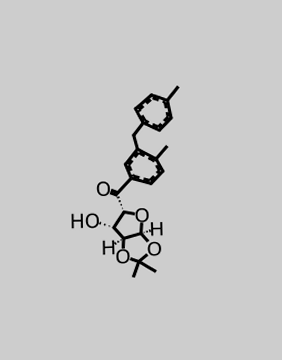 Cc1ccc(Cc2cc(C(=O)[C@@H]3O[C@H]4OC(C)(C)O[C@H]4[C@@H]3O)ccc2C)cc1